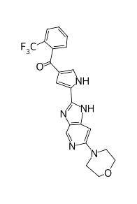 O=C(c1c[nH]c(-c2nc3cnc(N4CCOCC4)cc3[nH]2)c1)c1ccccc1C(F)(F)F